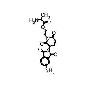 C[C@H](N)C(=O)OCCN1C(=O)CCC(N2C(=O)c3ccc(N)cc3C2=O)C1=O